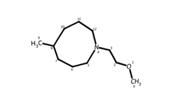 COCCN1CCCC(C)CCC1